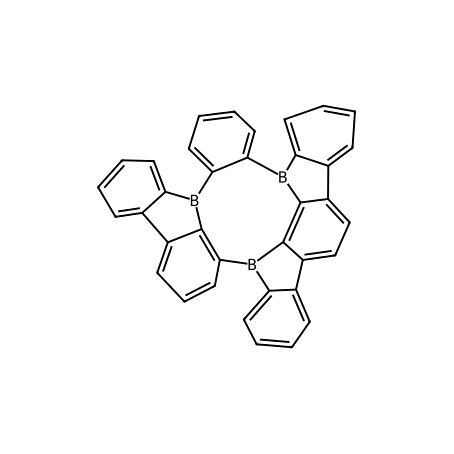 c1ccc2c(c1)B1c3ccccc3-c3cccc(c31)B1c3ccccc3-c3ccc4c(c31)B2c1ccccc1-4